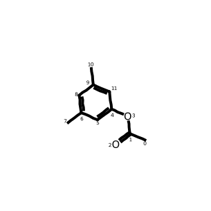 CC(=O)Oc1cc(C)cc(C)c1